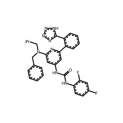 CC(C)CN(Cc1ccccc1)c1cc(NC(=O)Nc2ccc(F)cc2F)cc(-c2ccccc2-c2nnn[nH]2)n1